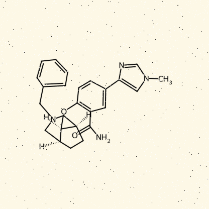 Cn1cnc(-c2ccc(O[C@H]3[C@@H]4CC[C@H]3CN(Cc3ccccc3)C4)c(C(N)=O)c2)c1